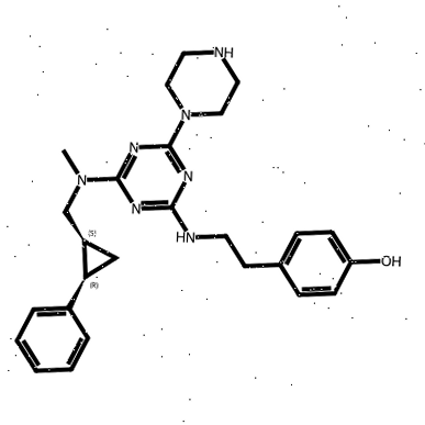 CN(C[C@H]1C[C@H]1c1ccccc1)c1nc(NCCc2ccc(O)cc2)nc(N2CCNCC2)n1